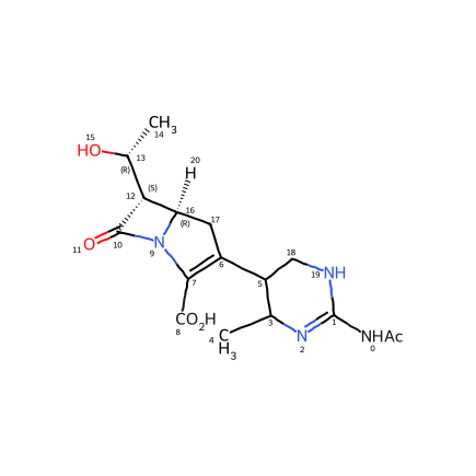 CC(=O)NC1=NC(C)C(C2=C(C(=O)O)N3C(=O)[C@H]([C@@H](C)O)[C@H]3C2)CN1